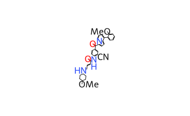 COc1ccccc1-c1cccn2c(C(=O)c3ccc(NC(=O)/C=C/CN[C@H]4CC[C@H](OC)CC4)c(C#N)c3)ccc12